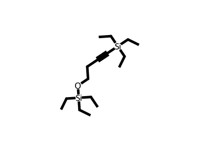 CC[Si](C#CCCO[Si](CC)(CC)CC)(CC)CC